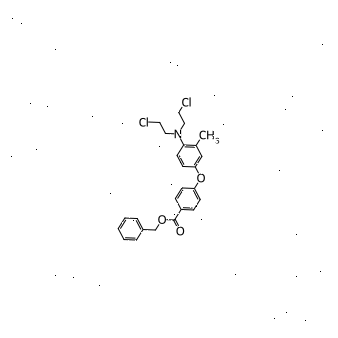 Cc1cc(Oc2ccc(C(=O)OCc3ccccc3)cc2)ccc1N(CCCl)CCCl